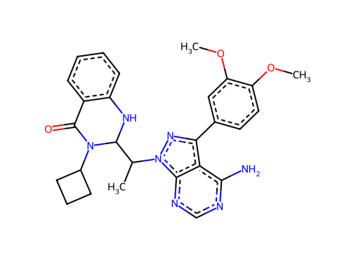 COc1ccc(-c2nn(C(C)C3Nc4ccccc4C(=O)N3C3CCC3)c3ncnc(N)c23)cc1OC